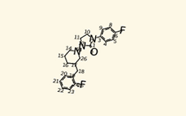 O=C1N(c2ccc(F)cc2)CCN1N1CCCC(Cc2ccccc2F)C1